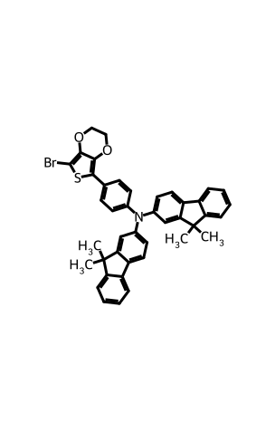 CC1(C)c2ccccc2-c2ccc(N(c3ccc(-c4sc(Br)c5c4OCCO5)cc3)c3ccc4c(c3)C(C)(C)c3ccccc3-4)cc21